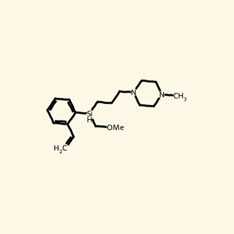 C=Cc1ccccc1[SiH](CCCN1CCN(C)CC1)COC